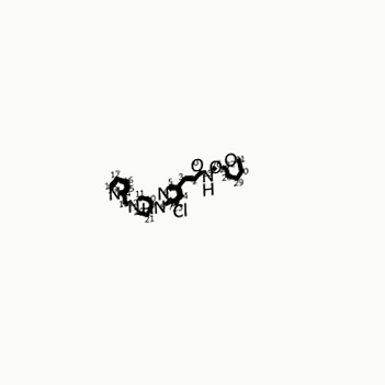 O=C(C=Cc1cnc(NC2CCN(Cc3ccccn3)CC2)c(Cl)c1)NOC1CCCCO1